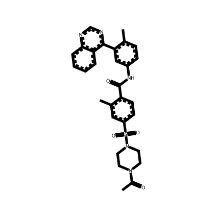 CC(=O)N1CCN(S(=O)(=O)c2ccc(C(=O)Nc3ccc(C)c(-c4ncnc5ccccc45)c3)c(C)c2)CC1